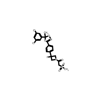 CC1(c2cc(Cl)cc(Cl)c2)ON=C(c2ccc(C3(F)CN(C(=O)CS(C)(=O)=O)C3)cc2)O1